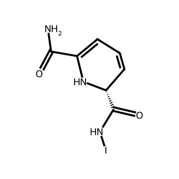 NC(=O)C1=CC=C[C@H](C(=O)NI)N1